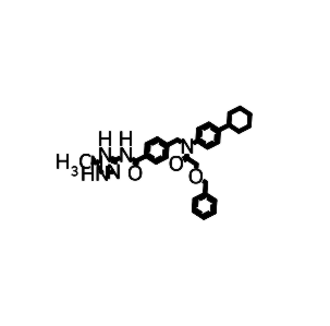 CN1NN=C(NC(=O)c2ccc(CN(C(=O)COCc3ccccc3)c3ccc(C4CCCCC4)cc3)cc2)N1